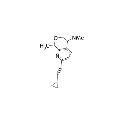 CNC1COC(C)c2nc(C#CC3CC3)ccc21